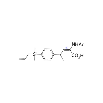 C=CC[Si](C)(C)c1ccc(C(C)/C=C(/NC(C)=O)C(=O)O)cc1